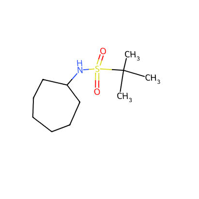 CC(C)(C)S(=O)(=O)NC1CCCCCC1